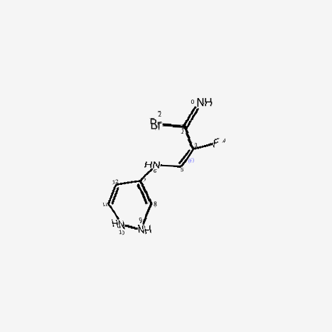 N=C(Br)/C(F)=C\NC1=CNNC=C1